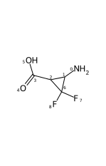 NC1C(C(=O)O)C1(F)F